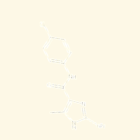 CCCc1nc(C(=O)Nc2ccc(Cl)cc2)c(C)[nH]1